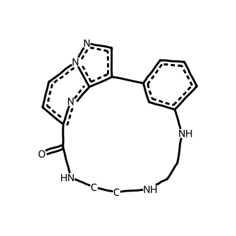 O=C1NCCNCCNc2cccc(c2)-c2cnn3ccc1nc23